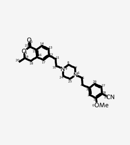 COc1cc(CCN2CCN(CCc3ccc4c(c3)CC(C)OC4=O)CC2)ccc1C#N